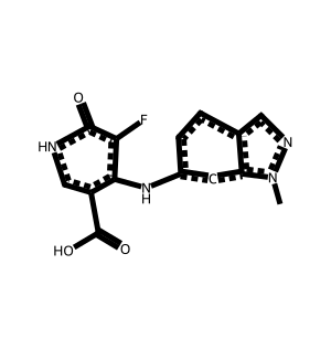 Cn1ncc2ccc(Nc3c(C(=O)O)c[nH]c(=O)c3F)cc21